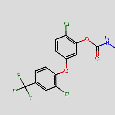 CNC(=O)Oc1cc(Oc2ccc(C(F)(F)F)cc2Cl)ccc1Cl